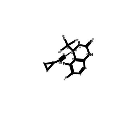 O=C1Nc2ccc(F)c(F)c2[C@@](C#CC2CC2)(C(F)(F)F)N1